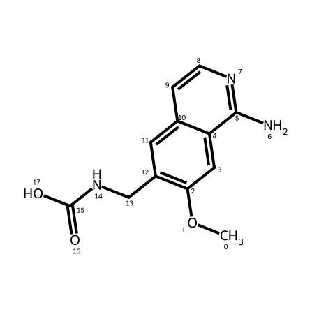 COc1cc2c(N)nccc2cc1CNC(=O)O